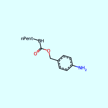 CCCCCBC(=O)OCc1ccc(N)cc1